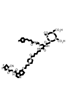 N#C[C@H]1CC(F)(F)CN1C(=O)CNC(=O)c1ccnc2ccc(OCCCN3CCN(C(=O)CCCCCNC(=O)C(CSCCNC(=O)CCCc4ccc(I)cc4)NC(=O)CN4CCN(CC(=O)O)CCN(CC(=O)O)CCN(CC(=O)O)CC4)CC3)cc12